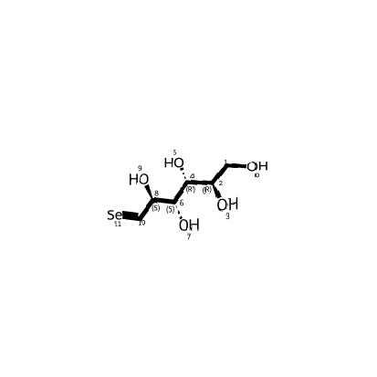 OC[C@@H](O)[C@@H](O)[C@H](O)[C@H](O)C=[Se]